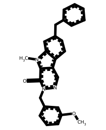 COc1cccc(Cn2ncc3c4ccc(Cc5ccccc5)cc4n(C)c3c2=O)c1